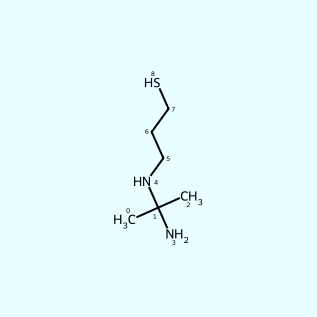 CC(C)(N)NCCCS